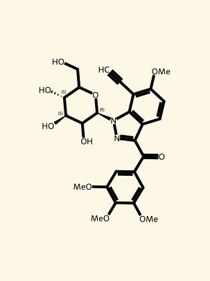 C#Cc1c(OC)ccc2c(C(=O)c3cc(OC)c(OC)c(OC)c3)nn([C@@H]3OC(CO)[C@@H](O)[C@H](O)C3O)c12